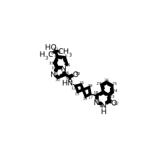 CC(C)(O)c1ccn2c(C(=O)N[C@H]3CC4(C3)C[C@H](c3n[nH]c(=O)c5ccccc53)C4)cnc2c1